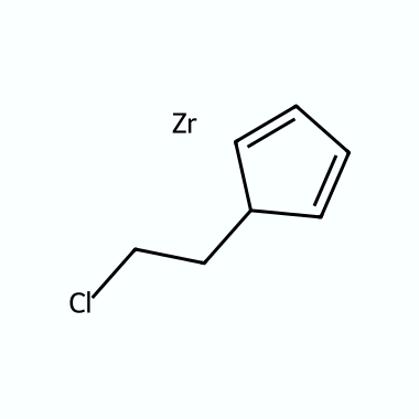 ClCCC1C=CC=C1.[Zr]